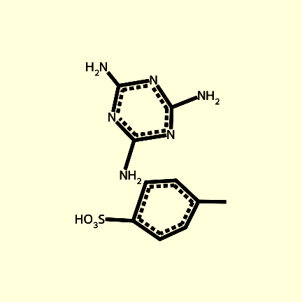 Cc1ccc(S(=O)(=O)O)cc1.Nc1nc(N)nc(N)n1